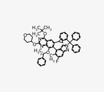 Cc1c(F)cc2nn(C(c3ccccc3)(c3ccccc3)c3ccccc3)cc2c1-c1c(C2CC2)cc2c(OC(C)(C)C)nc(OC3CCOCC3)nc2c1O[C@@H](C)c1ccccc1